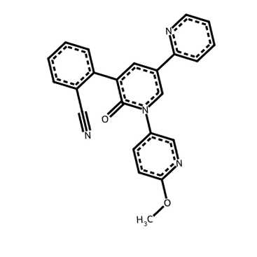 COc1ccc(-n2cc(-c3ccccn3)cc(-c3ccccc3C#N)c2=O)cn1